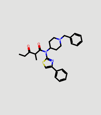 CCC(=O)C(C)C(=O)N(c1nc(-c2ccccc2)cs1)C1CCN(Cc2ccccc2)CC1